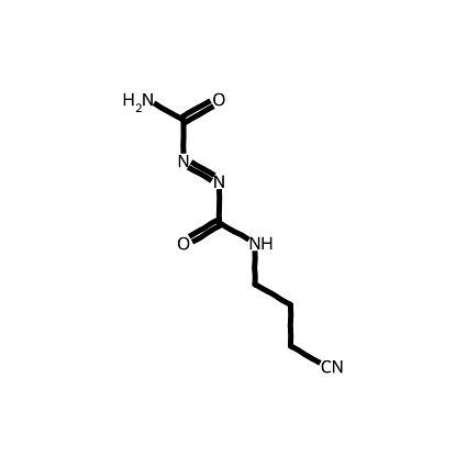 N#CCCCNC(=O)N=NC(N)=O